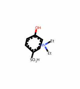 CCNCC.O=S(=O)(O)c1ccc(O)cc1